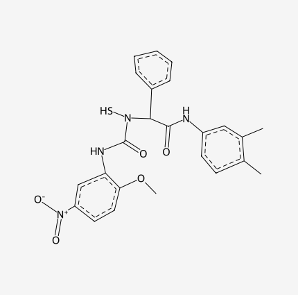 COc1ccc([N+](=O)[O-])cc1NC(=O)N(S)C(C(=O)Nc1ccc(C)c(C)c1)c1ccccc1